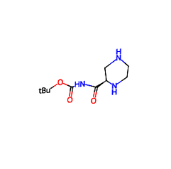 CC(C)(C)OC(=O)NC(=O)[C@H]1CNCCN1